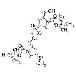 CS[C@H]1C[C@@H](COCS(=O)(=O)[C@H]2C[C@@H](CO)N(C(=O)OC(C)(C)C)C2)N(C(=O)OC(C)(C)C)C1